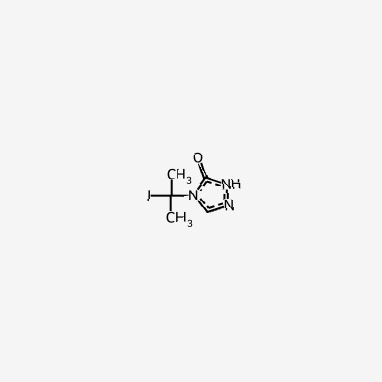 CC(C)(I)n1cn[nH]c1=O